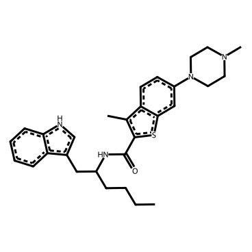 CCCCC(Cc1c[nH]c2ccccc12)NC(=O)c1sc2cc(N3CCN(C)CC3)ccc2c1C